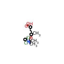 Cc1cc(OCc2c(C)c(C)nn2-c2c(Cl)cccc2Cl)ccc1C=Cc1cccc(C(=O)O)c1